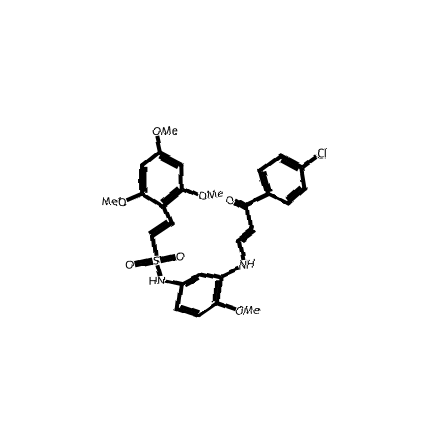 COc1cc(OC)c(C=CS(=O)(=O)Nc2ccc(OC)c(NC=CC(=O)c3ccc(Cl)cc3)c2)c(OC)c1